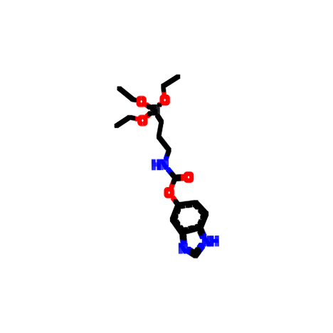 CCO[Si](CCCNC(=O)Oc1ccc2[nH]cnc2c1)(OCC)OCC